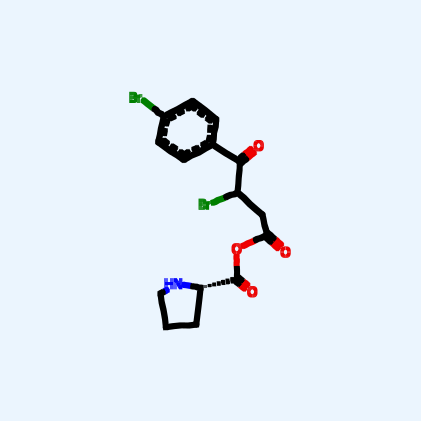 O=C(CC(Br)C(=O)c1ccc(Br)cc1)OC(=O)[C@@H]1CCCN1